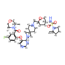 C[C@@H]1COC[C@@H](C)N1C(=O)c1cc(F)ccc1Oc1cncnc1N1CC2(CCN(C[C@@H]3CC[C@@H](NS(=O)(=O)N4CCC[C@H]4C)CO3)CC2)C1